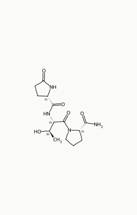 C[C@@H](O)[C@H](NC(=O)[C@@H]1CCC(=O)N1)C(=O)N1CCC[C@H]1C(N)=O